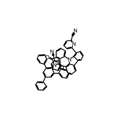 N#Cc1cccc(-c2cccc3c4cccc(-c5cccc(C#N)n5)c4n(-c4cccc5c4C(=O)N(c4c(-c6ccccc6)cc(-c6ccccc6)cc4-c4ccccc4)C5=O)c23)n1